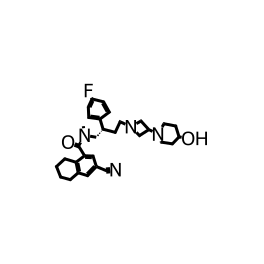 CN(C[C@@H](CCN1CC(N2CCC(O)CC2)C1)c1ccc(F)cc1)C(=O)c1cc(C#N)cc2c1CCCC2